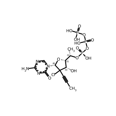 CC#CC1(Cl)[C@@H](O)[C@@H]([C@H](C)OP(=O)(O)OP(=O)(O)OP(=O)(O)O)O[C@H]1n1cnc(N)nc1=O